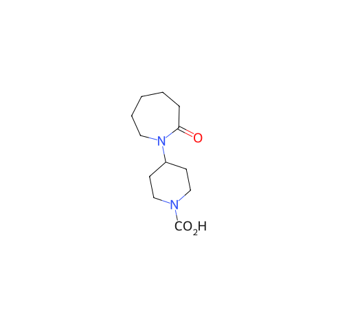 O=C(O)N1CCC(N2CCCCCC2=O)CC1